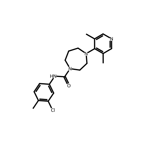 Cc1ccc(NC(=O)N2CCCN(c3c(C)cncc3C)CC2)cc1Cl